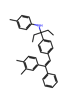 CCC(CC)(Nc1ccc(C)cc1)c1ccc(C=C(c2ccccc2)c2ccc(C)c(C)c2)cc1